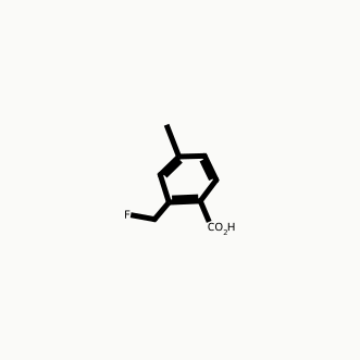 Cc1ccc(C(=O)O)c(CF)c1